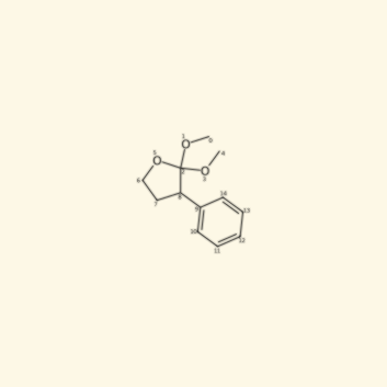 COC1(OC)OCCC1c1ccccc1